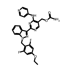 CCOc1cc(F)c(Cn2nc(-c3ncc(COC(N)=O)c(Nc4ccncc4)n3)c3ccccc32)c(F)c1